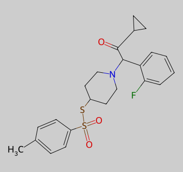 Cc1ccc(S(=O)(=O)SC2CCN(C(C(=O)C3CC3)c3ccccc3F)CC2)cc1